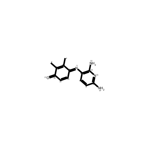 CC1=C(C)C(=Nc2ccc(N)nc2N)C=CC1=O